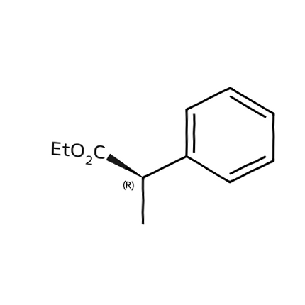 CCOC(=O)[C@H](C)c1ccccc1